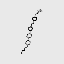 CCOCCc1ccc(CCc2ccc(C3CCC([C@H]4CC[C@H](CCCCF)CC4)CC3)cc2)cc1